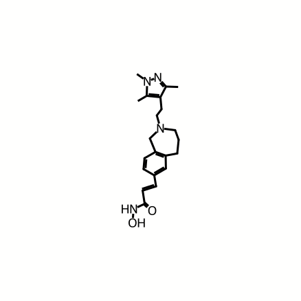 Cc1nn(C)c(C)c1CCN1CCCc2cc(C=CC(=O)NO)ccc2C1